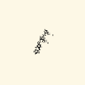 Cc1oc(CSc2nccn2C)nc1CCOc1ccc(CC2NC(=O)SC2=O)cc1